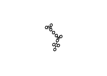 c1ccc(-c2c3ccccc3c(-c3ccc(N(c4ccccc4)c4ccc(-c5ccc(-c6ccc7c(c6)c6ccccc6n7-c6ccccc6)cc5)cc4)cc3)c3ccccc23)cc1